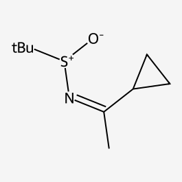 C/C(=N/[S+]([O-])C(C)(C)C)C1CC1